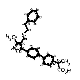 Cc1noc(-c2ccc(-c3ccc(C(C)C(=O)O)cc3)cc2)c1CSCCc1ccccc1